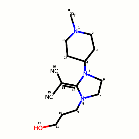 CC(C)N1CCC(N2CCN(CCCO)C2=C(C#N)C#N)CC1